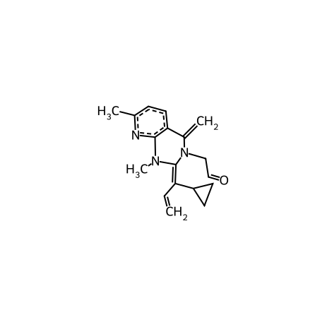 C=C/C(=C1/N(CC=O)C(=C)c2ccc(C)nc2N1C)C1CC1